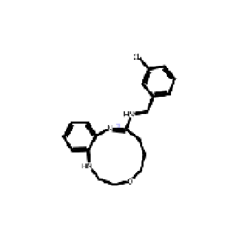 Clc1cccc(CN/C2=N/c3ccccc3NCCOCCC2)c1